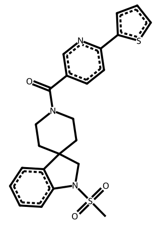 CS(=O)(=O)N1CC2(CCN(C(=O)c3ccc(-c4cccs4)nc3)CC2)c2ccccc21